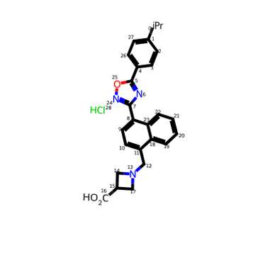 CC(C)c1ccc(-c2nc(-c3ccc(CN4CC(C(=O)O)C4)c4ccccc34)no2)cc1.Cl